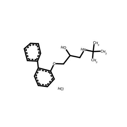 CC(C)(C)NCC(O)COc1ccccc1-c1ccccc1.Cl